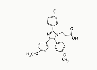 COc1ccc(-c2nc(-c3ccc(F)cc3)n(CCC(=O)O)c2-c2ccc(OC)cc2)cc1